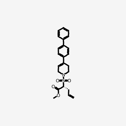 C=CC[C@H](C(=O)OC)S(=O)(=O)N1CC=C(c2ccc(-c3ccccc3)cc2)CC1